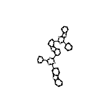 c1ccc(-c2nc(-c3ccc4c(c3)sc3ccccc34)nc(-c3cccc4c3sc3cccc(-c5nc(-c6ccccc6)c6sc7ccccc7c6n5)c34)n2)cc1